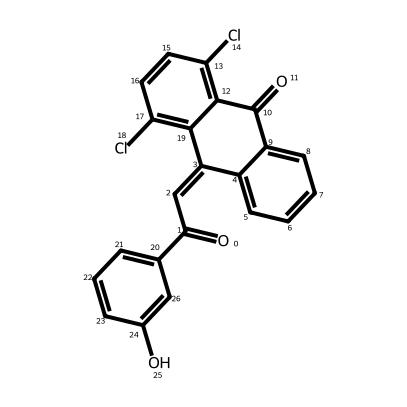 O=C(/C=C1\c2ccccc2C(=O)c2c(Cl)ccc(Cl)c21)c1cccc(O)c1